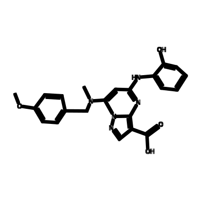 COc1ccc(CN(C)c2cc(Nc3ccccc3O)nc3c(C(=O)O)cnn23)cc1